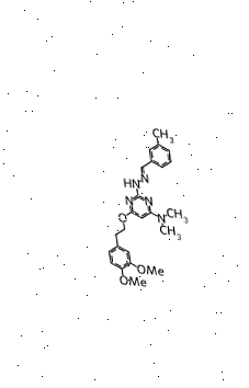 COc1ccc(CCOc2cc(N(C)C)nc(NN=Cc3cccc(C)c3)n2)cc1OC